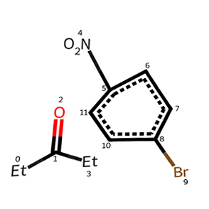 CCC(=O)CC.O=[N+]([O-])c1ccc(Br)cc1